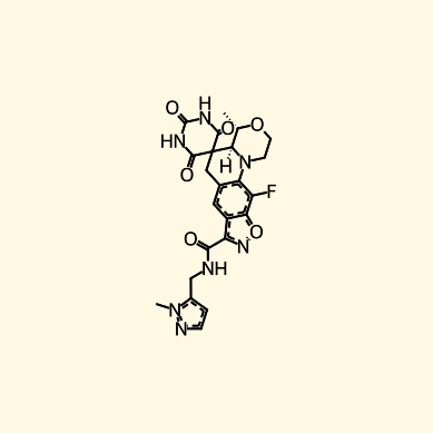 C[C@@H]1OCCN2c3c(cc4c(C(=O)NCc5ccnn5C)noc4c3F)CC3(C(=O)NC(=O)NC3=O)[C@@H]12